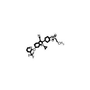 CCCS(=O)(=O)Nc1ccc(-c2c(C#N)c3ccc(Oc4ncccc4C(F)(F)F)cc3n2C2CC2)cc1